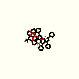 CC(C)(C)c1ccc2c(c1)c1ccccc1n2-c1c(-c2ccccc2-n2c3ccccc3c3ccccc32)cc(-c2cc(-c3ccccc3)cc(-c3ccccc3)n2)cc1-c1ccccc1-n1c2ccccc2c2ccccc21